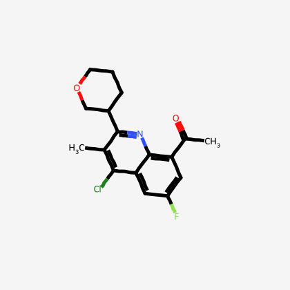 CC(=O)c1cc(F)cc2c(Cl)c(C)c(C3CCCOC3)nc12